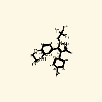 Cc1nn(CC(F)(F)F)c(-c2ccc3c(c2)NC(=O)CO3)c1-c1ccc(F)cc1